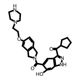 O=C(c1n[nH]c2cc(O)c(C(=O)N3Cc4ccc(OCCN5CCNCC5)cc4C3)cc12)C1CCCC1